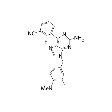 CNc1ccc(Cn2cnc3c(-c4cccc(C#N)c4F)nc(N)nc32)cc1C